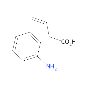 C=CCC(=O)O.Nc1ccccc1